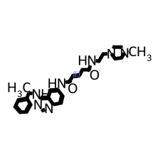 CC(Nc1ncnc2ccc(NC(=O)/C=C/CC(=O)NCCN3CCN(C)CC3)cc12)c1ccccc1